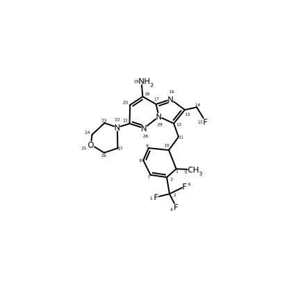 CC1C(C(F)(F)F)=CC=CC1Cc1c(CF)nc2c(N)cc(N3CCOCC3)nn12